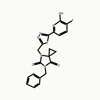 O=C1N(Cc2ccccc2)C(=O)C2(CC2)N1Cc1nnc(-c2ccc(F)c(O)n2)s1